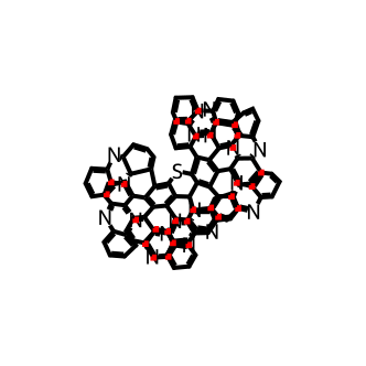 c1ccc2nc3c(-c4c5c(c(-c6cccc7nc8ccccc8nc67)c(-c6cccc7nc8ccccc8nc67)c4-c4cccc6nc7ccccc7nc46)C(c4cccc6nc7ccccc7nc46)c4c(c(-c6cccc7nc8ccccc8nc67)c(-c6cccc7nc8ccccc8nc67)c(-c6cccc7nc8ccccc8nc67)c4-c4cccc6nc7ccccc7nc46)S5)cccc3nc2c1